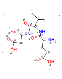 CC(C)C(NC(=O)C(N)CCC(=O)O)C(=O)NC(C=O)CC(=O)O